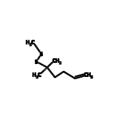 C=CCCC(C)(C)SSC